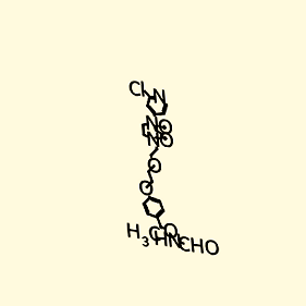 CC(ONC=O)c1ccc(OCCOCCN2CCN(c3ccnc(Cl)c3)S2(=O)=O)cc1